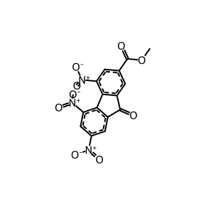 COC(=O)c1cc2c(c([N+](=O)[O-])c1)-c1c(cc([N+](=O)[O-])cc1[N+](=O)[O-])C2=O